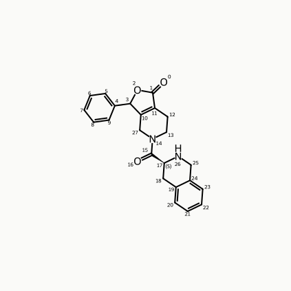 O=C1OC(c2ccccc2)C2=C1CCN(C(=O)[C@@H]1Cc3ccccc3CN1)C2